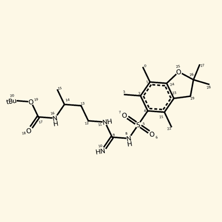 Cc1c(C)c(S(=O)(=O)NC(=N)NCCC(C)NC(=O)OC(C)(C)C)c(C)c2c1OC(C)(C)C2